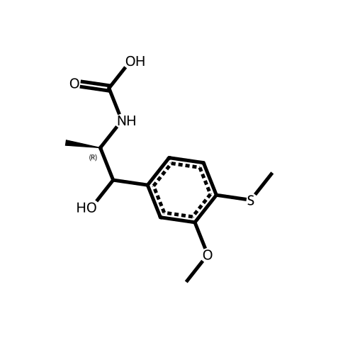 COc1cc(C(O)[C@@H](C)NC(=O)O)ccc1SC